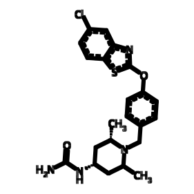 CC1C[C@H](NC(N)=O)C[C@H](C)N1Cc1ccc(Oc2nc3cc(Cl)ccc3s2)cc1